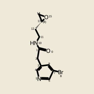 O=C(Cc1cncc(Br)c1)NCC[C@@H]1CO1